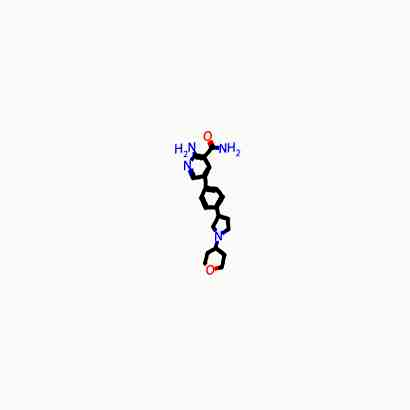 NC(=O)c1cc(-c2ccc(C3CCN(C4CCOCC4)C3)cc2)cnc1N